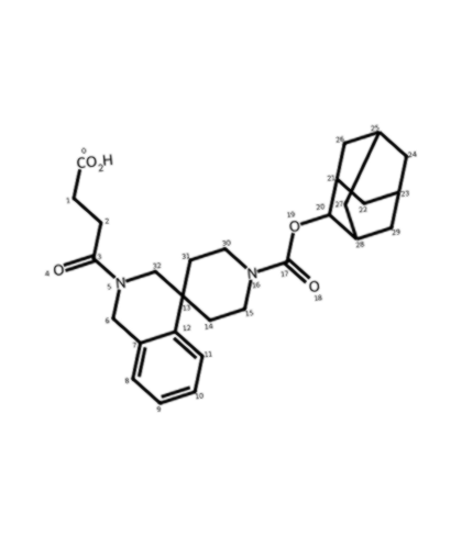 O=C(O)CCC(=O)N1Cc2ccccc2C2(CCN(C(=O)OC3C4CC5CC(C4)CC3C5)CC2)C1